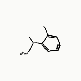 [CH2]c1ccccc1C(C)CCCCC